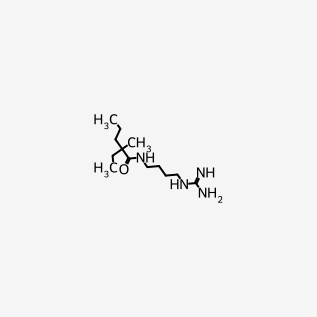 CCCC(C)(CC)C(=O)NCCCCNC(=N)N